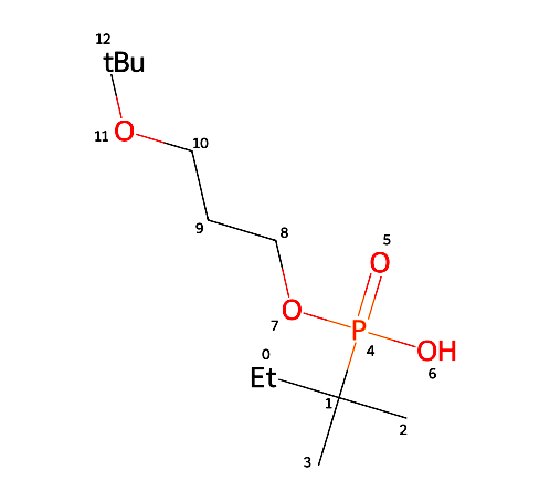 CCC(C)(C)P(=O)(O)OCCCOC(C)(C)C